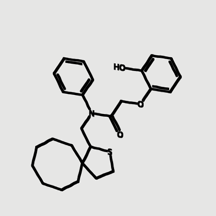 O=C(COc1ccccc1O)N(CC1SCCC12CCCCCCC2)c1ccccc1